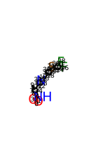 COC(=O)Nc1ccc(C)c(C2CCN(CCc3ccc(Sc4ccc(F)c(F)c4)cc3)CC2)c1